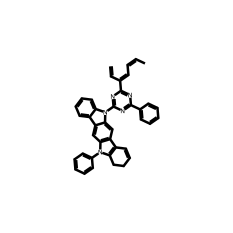 C=C/C(=C\C=C/C)c1nc(-c2ccccc2)nc(-n2c3ccccc3c3cc4c(cc32)c2c(n4-c3ccccc3)CCC=C2)n1